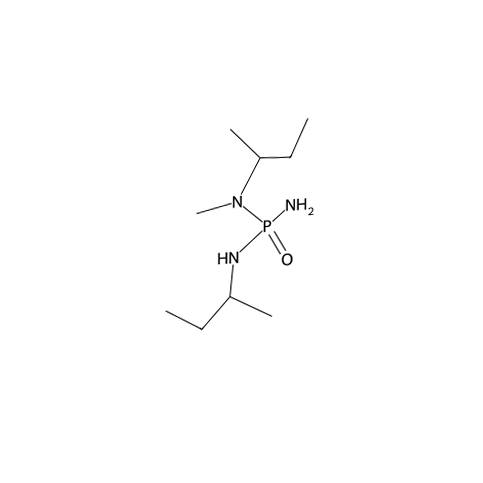 CCC(C)NP(N)(=O)N(C)C(C)CC